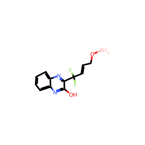 BOC/C=C/C(F)(F)c1nc2ccccc2nc1O